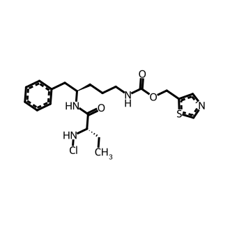 CC[C@H](NCl)C(=O)N[C@H](CCCNC(=O)OCc1cncs1)Cc1ccccc1